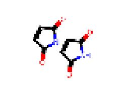 O=C1C=CC(=O)N1.O=C1C=CC(=O)N1